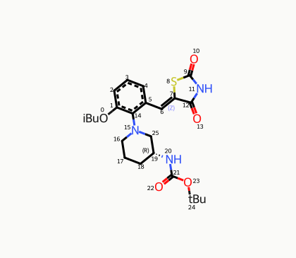 CC(C)COc1cccc(/C=C2\SC(=O)NC2=O)c1N1CCC[C@@H](NC(=O)OC(C)(C)C)C1